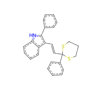 C(=C\C1(c2ccccc2)SCCCS1)/c1c(-c2ccccc2)[nH]c2ccccc12